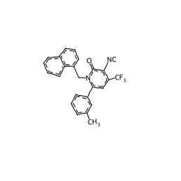 [C-]#[N+]c1c(C(F)(F)F)cc(-c2cccc(C)c2)n(Cc2cccc3ccccc23)c1=O